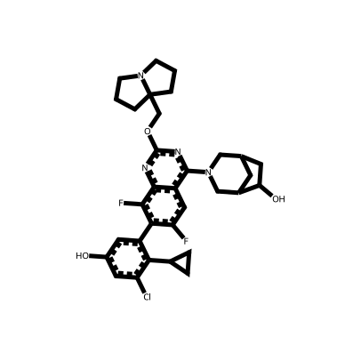 Oc1cc(Cl)c(C2CC2)c(-c2c(F)cc3c(N4CC5CC(O)C(C5)C4)nc(OCC45CCCN4CCC5)nc3c2F)c1